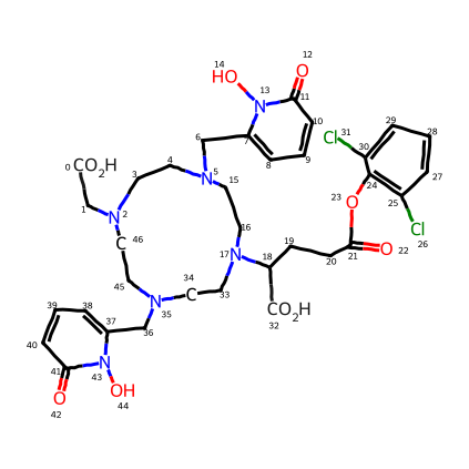 O=C(O)CN1CCN(Cc2cccc(=O)n2O)CCN(C(CCC(=O)Oc2c(Cl)cccc2Cl)C(=O)O)CCN(Cc2cccc(=O)n2O)CC1